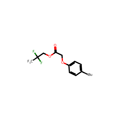 CCC(C)c1ccc(OCC(=O)OCC(F)(F)C(F)(F)F)cc1